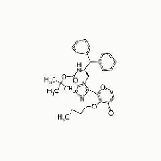 CCCCOc1c(-c2nccn2C[C@@H](NC(=O)OC(C)(C)C)C(c2ccccc2)c2ccccc2)occc1=O